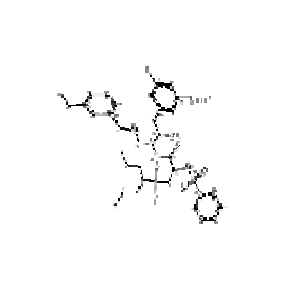 CCCC(CCC)S(=O)(=O)CC(NS(=O)(=O)c1ccccc1)C(=O)O[C@H](CNCc1cccc(CC)c1)[C@@H](N)Cc1cc(F)cc(F)c1.Cl